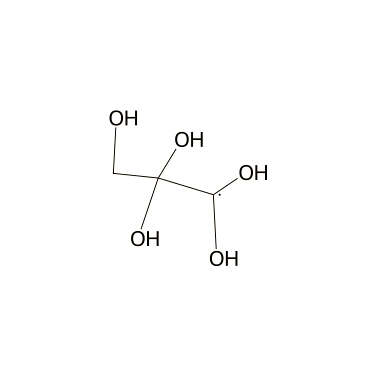 OCC(O)(O)[C](O)O